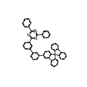 c1ccc(-c2nc(-c3ccccc3)nc(-c3cccc(-c4cccc(-c5ccc6c(c5)-c5ccccc5C65c6ccccc6-c6ccccc65)c4)c3)n2)cc1